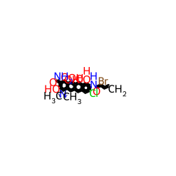 C=CCC(Br)C(=O)Nc1c(Cl)cc2c(c1O)C(=O)C1=C(O)C3(O)C(=O)C(C(N)=O)=C(O)[C@@H](N(C)C)C3CC1C2